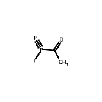 CC(=O)P(#P)I